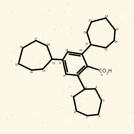 O=C(O)c1c(C2CCCCCC2)cc(C2CCCCCC2)cc1C1CCCCCC1